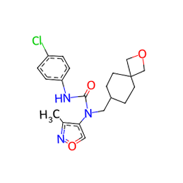 Cc1nocc1N(CC1CCC2(CC1)COC2)C(=O)Nc1ccc(Cl)cc1